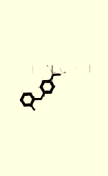 Cc1ccccc1Cc1ccc(C(N)CC(=O)O)cc1